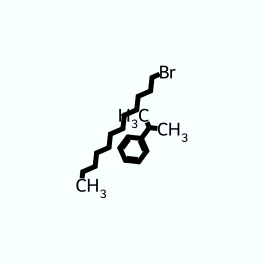 CC(C)c1ccccc1.CCCCCCCCCCCCBr